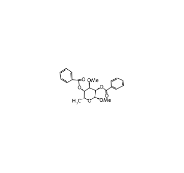 CO[C@H]1O[C@H](C)[C@@H](OC(=O)c2ccccc2)[C@@H](OC)[C@H]1OC(=O)c1ccccc1